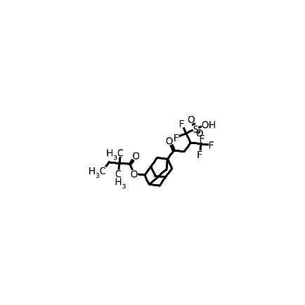 CCC(C)(C)C(=O)OC1C2CC3CC1CC(C(=O)CC(C(F)(F)F)C(F)(F)S(=O)(=O)O)(C3)C2